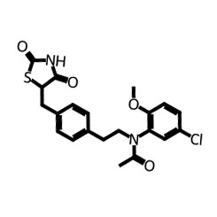 COc1ccc(Cl)cc1N(CCc1ccc(CC2SC(=O)NC2=O)cc1)C(C)=O